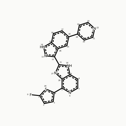 Fc1ccc(-c2nccc3[nH]c(-c4n[nH]c5ccc(-c6ccncc6)cc45)nc23)s1